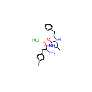 CC(C)C[C@H](NCCc1ccccc1)C(=O)NC(=O)C(N)Cc1ccc(F)cc1.Cl